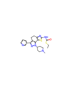 CCSC(=O)Nc1nc2c(s1)-c1c(c(-c3cccnc3)nn1C1CCN(C)CC1)CC2